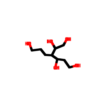 OCCCC(C(O)CO)C(O)CCO